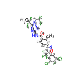 Cc1cc(C2=NOC(c3cc(Cl)c(F)c(Cl)c3)(C(F)(F)F)C2)ccc1C(=O)Nc1nc(C(C)(F)F)n(CC(F)F)n1